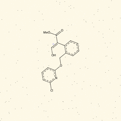 COC(=O)/C(=C/O)c1ccccc1COc1cccc(Cl)n1